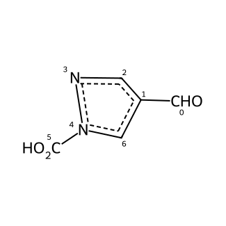 O=Cc1cnn(C(=O)O)c1